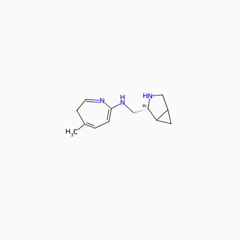 CC1=CC=C(NC[C@@H]2NCC3CC32)N=CC1